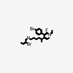 C\C=N/C(F)=C(\C(=C/C)C(C)CCCC/N=C\C(Br)=C/C)c1ccc(Br)cc1